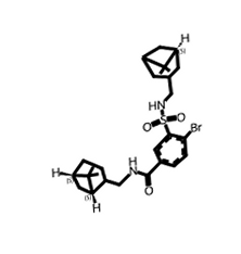 CC1(C)C2CC(CNS(=O)(=O)c3cc(C(=O)NCC4CC[C@H]5C[C@@H]4C5(C)C)ccc3Br)C[C@@H]1C2